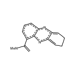 C=C(NC)c1cccc2nc3c(nc12)=CCCC=3